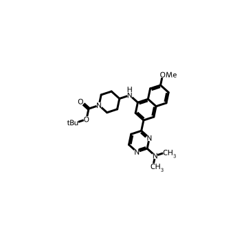 COc1ccc2cc(-c3ccnc(N(C)C)n3)cc(NC3CCN(C(=O)OC(C)(C)C)CC3)c2c1